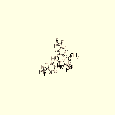 COC(c1ccc(C(F)(F)F)cc1)C1C(C(F)(F)F)=NN(c2ccc(C(F)(F)F)cc2)C1O